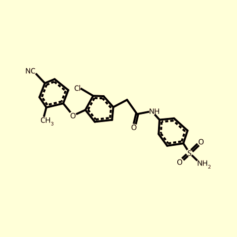 Cc1cc(C#N)ccc1Oc1ccc(CC(=O)Nc2ccc(S(N)(=O)=O)cc2)cc1Cl